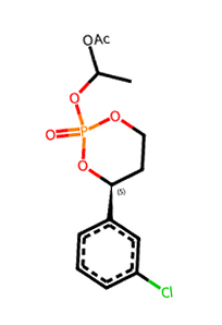 CC(=O)OC(C)OP1(=O)OCC[C@@H](c2cccc(Cl)c2)O1